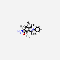 Cc1c2c(c(C=O)n1-c1ccccc1)C(C)(C(N)=O)CC2(C)C